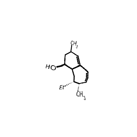 CC[C@@H]1C2C(=CC(C)CC2O)C=C[C@@H]1C